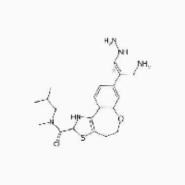 CC(C)CN(C)C(=O)C1NC2=C(CCOc3cc(/C(=C/NN)CN)ccc32)S1